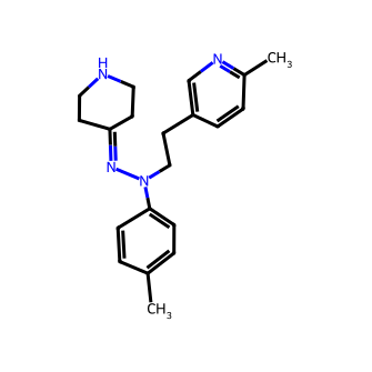 Cc1ccc(N(CCc2ccc(C)nc2)N=C2CCNCC2)cc1